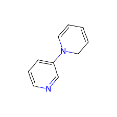 C1=CCN(c2cccnc2)C=C1